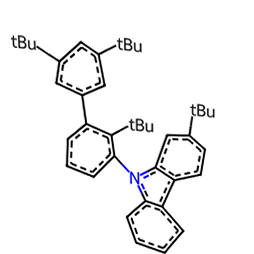 CC(C)(C)c1cc(-c2cccc(-n3c4ccccc4c4ccc(C(C)(C)C)cc43)c2C(C)(C)C)cc(C(C)(C)C)c1